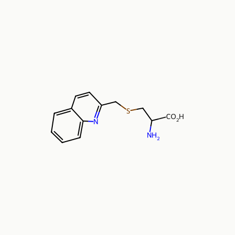 NC(CSCc1ccc2ccccc2n1)C(=O)O